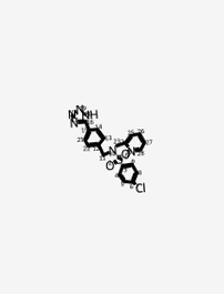 O=S(=O)(c1ccc(Cl)cc1)N(Cc1ccc(-c2nnn[nH]2)cc1)Cc1ccccn1